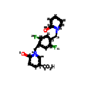 O=C(O)c1ccc(=O)n(Cc2cc(F)c(Cn3ccccc3=O)cc2F)c1